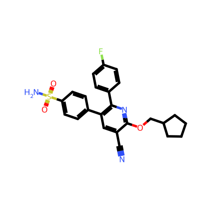 N#Cc1cc(-c2ccc(S(N)(=O)=O)cc2)c(-c2ccc(F)cc2)nc1OCC1CCCC1